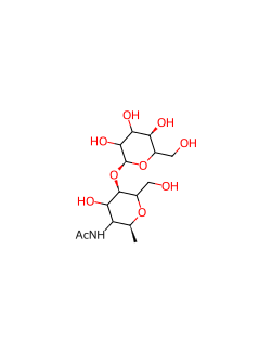 CC(=O)NC1C(O)[C@@H](O[C@@H]2OC(CO)[C@H](O)C(O)C2O)C(CO)O[C@H]1C